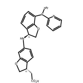 CCCN(c1ccccn1)c1cccc2c1OC[C@H]2Nc1ccc2c(c1)OC[C@H]2CC(=O)O